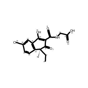 CC[C@]1(C)C(=O)C(C(=O)NCC(=O)O)=C(O)c2cc(Cl)ccc21